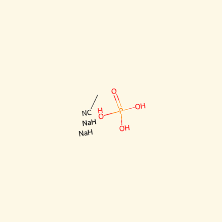 CC#N.O=P(O)(O)O.[NaH].[NaH]